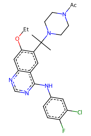 CCOc1cc2ncnc(Nc3ccc(F)c(Cl)c3)c2cc1C(C)(C)N1CCN(C(C)=O)CC1